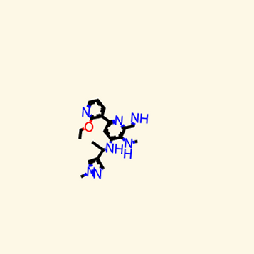 CCOc1ncccc1-c1cc(NC(C)c2cnn(C)c2)c(NC)c(C=N)n1